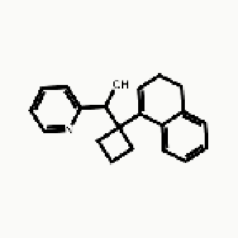 OC(c1ccccn1)C1(C2=CCCc3ccccc32)CCC1